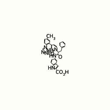 Cc1ccc(N2C=NNN2)c(-c2ccn(C(Cc3ccccc3)C(=O)Nc3ccc4[nH]c(C(=O)O)cc4c3)c(=O)c2)c1